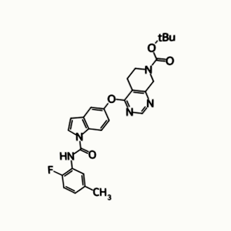 Cc1ccc(F)c(NC(=O)n2ccc3cc(Oc4ncnc5c4CCN(C(=O)OC(C)(C)C)C5)ccc32)c1